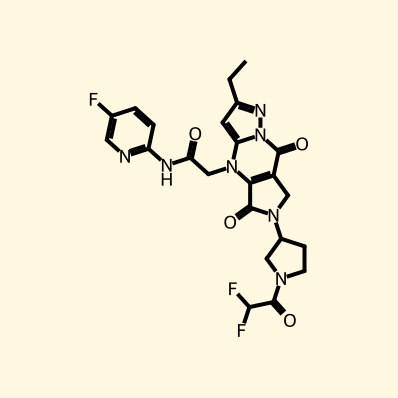 CCc1cc2n(CC(=O)Nc3ccc(F)cn3)c3c(c(=O)n2n1)CN(C1CCN(C(=O)C(F)F)C1)C3=O